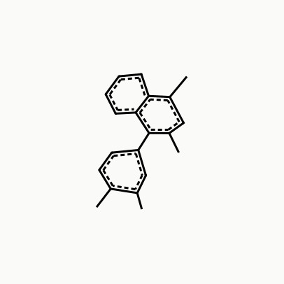 Cc1ccc(-c2c(C)cc(C)c3ccccc23)cc1C